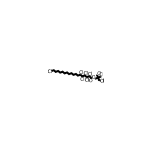 O=C(OCC(CCl)(CCl)CCl)C(Cl)C(Cl)C(Cl)C(Cl)C(Cl)CCCCCCCCCCCCCl